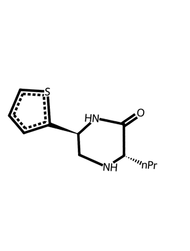 CCC[C@@H]1NC[C@@H](c2cccs2)NC1=O